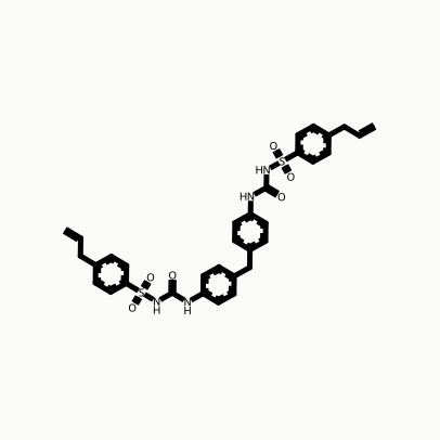 C=CCc1ccc(S(=O)(=O)NC(=O)Nc2ccc(Cc3ccc(NC(=O)NS(=O)(=O)c4ccc(CC=C)cc4)cc3)cc2)cc1